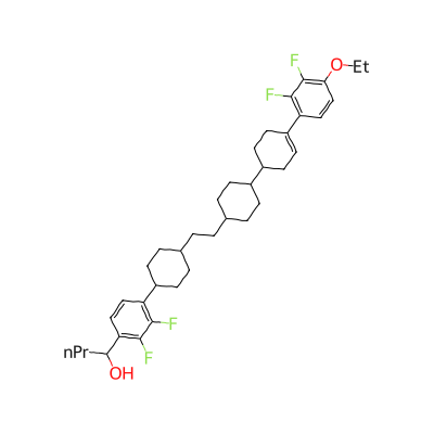 CCCC(O)c1ccc(C2CCC(CCC3CCC(C4CC=C(c5ccc(OCC)c(F)c5F)CC4)CC3)CC2)c(F)c1F